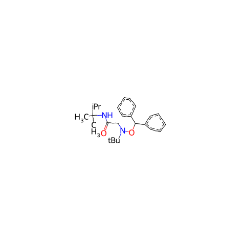 CC(C)C(C)(C)NC(=O)CN(OC(c1ccccc1)c1ccccc1)C(C)(C)C